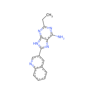 CCc1nc(N)c2nc(-c3cnc4ccccc4c3)[nH]c2n1